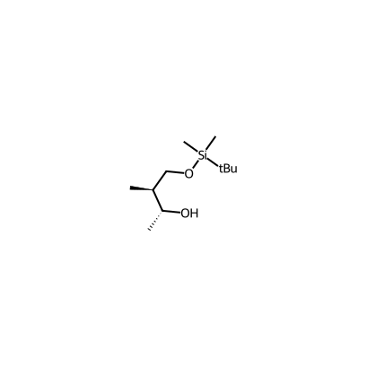 C[C@@H](O)[C@@H](C)CO[Si](C)(C)C(C)(C)C